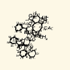 CCCCOC(=O)CO[Si]1(O[C@@H](C(=O)O[C@H]2C[C@@]3(O)[C@@H](OC(=O)c4ccccc4)C4[C@](C)(C(=O)[C@H](OC(C)=O)C(=C2C)C3(C)C)[C@@H](O)C[C@H]2OC[C@@]42OC(C)=O)C(NC(=O)c2ccccc2)c2ccccc2)CCCCC1